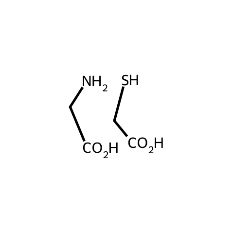 NCC(=O)O.O=C(O)CS